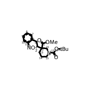 COC(=O)C1(CCc2ccccc2[N+](=O)[O-])CCCN(C(=O)OC(C)(C)C)C1